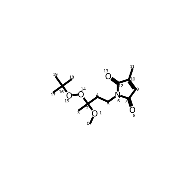 COC(C)(CCN1C(=O)C=C(C)C1=O)OOC(C)(C)C